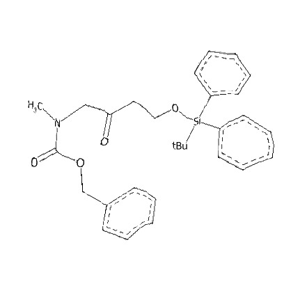 CN(CC(=O)CCO[Si](c1ccccc1)(c1ccccc1)C(C)(C)C)C(=O)OCc1ccccc1